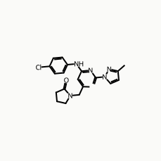 C=C(/N=C(\C=C(/C)CN1CCCC1=O)Nc1ccc(Cl)cc1)n1ccc(C)n1